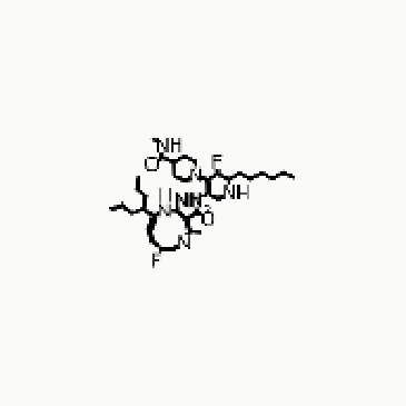 CCCCCCC1NCC(NC(=O)C2C(C)/N=C\C(F)C/C=C(/C(CCC)CCC)NC2N)=C(N2CCC(C(=O)NC)CC2)C1F